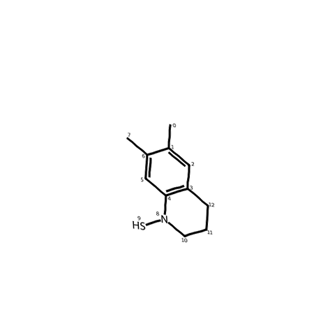 Cc1cc2c(cc1C)N(S)CCC2